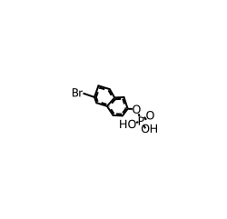 O=P(O)(O)Oc1ccc2cc(Br)ccc2c1